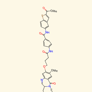 COC(=O)c1cc2cc(NC(=O)c3ccc(NC(=O)CCCOc4cc5c(cc4OC)C(=O)N4CCCCCC4C=N5)cc3)ccc2s1